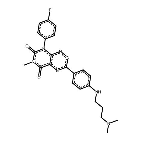 CN(C)CCCNc1ccc(-c2nnc3c(n2)c(=O)n(C)c(=O)n3-c2ccc(F)cc2)cc1